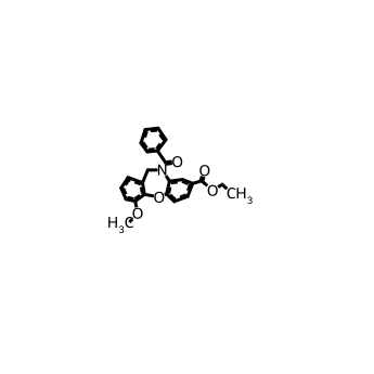 CCOC(=O)c1ccc2c(c1)N(C(=O)c1ccccc1)Cc1cccc(OC)c1O2